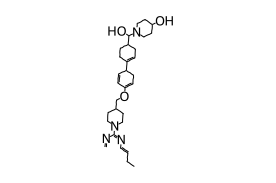 C=N/C(=N\C=C\CC)N1CCC(COC2=CCC(C3=CCC(C(O)N4CCC(O)CC4)CC3)C=C2)CC1